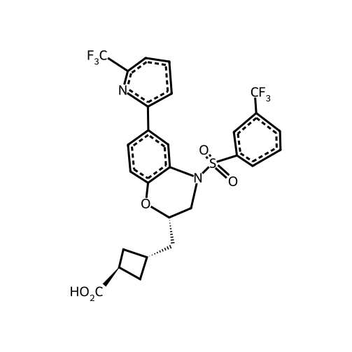 O=C(O)[C@H]1C[C@H](C[C@H]2CN(S(=O)(=O)c3cccc(C(F)(F)F)c3)c3cc(-c4cccc(C(F)(F)F)n4)ccc3O2)C1